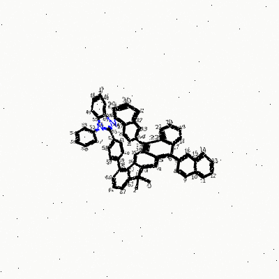 CC1(C)c2cc3c(-c4ccc5ccccc5c4)c4ccccc4c(-c4ccc5ccccc5c4)c3cc2-c2c(-c3ccc(-c4nc5ccccc5n4-c4ccccc4)cc3)cccc21